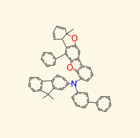 CC1(C)c2ccccc2-c2ccc(N(c3cccc(-c4ccccc4)c3)c3cccc4c3oc3c(-c5ccccc5)c5c(cc34)OC3(C)C=CC=CC53)cc21